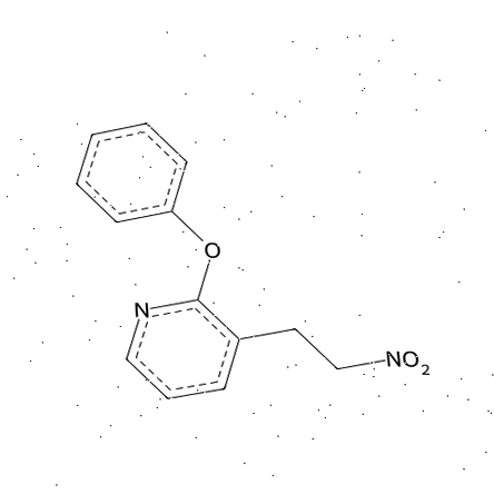 O=[N+]([O-])CCc1cccnc1Oc1ccccc1